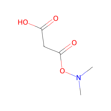 CN(C)OC(=O)CC(=O)O